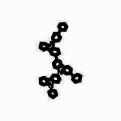 c1ccc(-c2ccc(-n3c4ccccc4c4cc(-c5ccc6c(c5)c5ccc(-c7ccccc7)cc5n6-c5ccc6c(c5)c5ccccc5n6-c5ccccc5)ccc43)cc2)cc1